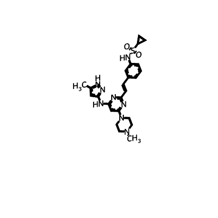 Cc1cc(Nc2cc(N3CCN(C)CC3)nc(/C=C/c3cccc(NS(=O)(=O)C4CC4)c3)n2)n[nH]1